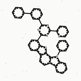 c1ccc(-c2cccc(-c3nc(-c4ccccn4)nc(-c4cccc5c4sc4c5ccc5c6ccccc6n(-c6ccccc6)c54)n3)c2)cc1